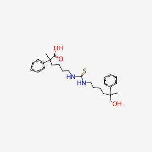 CC(CO)(CCCCNC(=S)NCCCCC(C)(C(=O)O)c1ccccc1)c1ccccc1